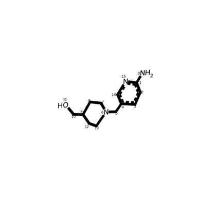 Nc1ccc(CN2CCC(CO)CC2)cn1